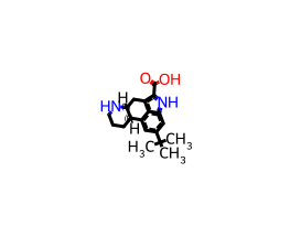 CC(C)(C)c1cc2c3c(c(C(=O)O)[nH]c3c1)C[C@H]1NCCC[C@H]21